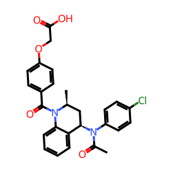 CC(=O)N(c1ccc(Cl)cc1)[C@@H]1C[C@H](C)N(C(=O)c2ccc(OCC(=O)O)cc2)c2ccccc21